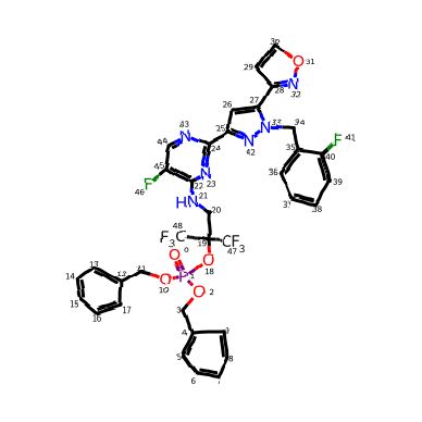 O=P(OCc1ccccc1)(OCc1ccccc1)OC(CNc1nc(-c2cc(-c3ccon3)n(Cc3ccccc3F)n2)ncc1F)(C(F)(F)F)C(F)(F)F